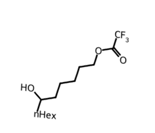 CCCCCCC(O)CCCCCOC(=O)C(F)(F)F